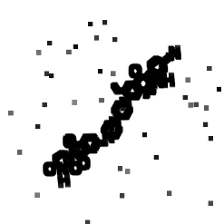 CCc1cc2c(cc1N1CCC(N3CCN(Cc4ccc5c(c4)C(=O)N(N4CCC(=O)NC4=O)C5=O)CC3)CC1)C(C)(C)c1[nH]c3cc(C#N)ccc3c1C2=O